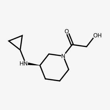 O=C(CO)N1CCC[C@@H](NC2CC2)C1